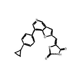 O=C1NC(=O)C(=Cc2cc3cncc(-c4ccc(C5CC5)cc4)c3o2)S1